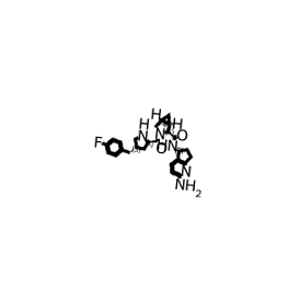 Nc1ccc2c(n1)CC[C@H]2NC(=O)[C@@H]1[C@@H]2C[C@@H]2CN1C(=O)[C@H]1C[C@H](Cc2ccc(F)cc2)CN1